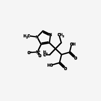 CCC(CC)(c1ncn(C)c1[N+](=O)[O-])C(C(=O)O)C(=O)O